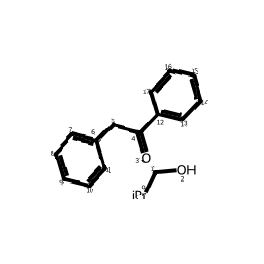 CC(C)CO.O=C(Cc1ccccc1)c1ccccc1